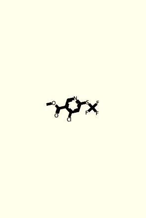 COC(=O)c1cnc(SC(F)(F)F)cc1Cl